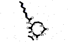 C/C=C/C=C/C=C/C(=O)N[C@H]1CCCNC(=O)[C@H](C)NC(=O)[C@H](C(C)C)N(C)C1=O